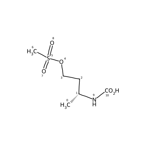 C[C@H](CCOS(C)(=O)=O)NC(=O)O